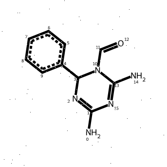 NC1=NC(c2ccccc2)N(C=O)C(N)=N1